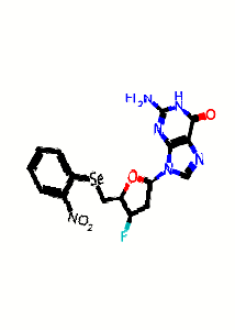 Nc1nc2c(ncn2[C@H]2CC(F)[C@@H](C[Se]c3ccccc3[N+](=O)[O-])O2)c(=O)[nH]1